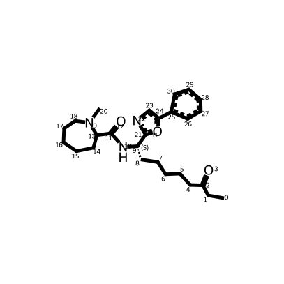 CCC(=O)CCCCC[C@H](NC(=O)C1CCCCCN1C)c1ncc(-c2ccccc2)o1